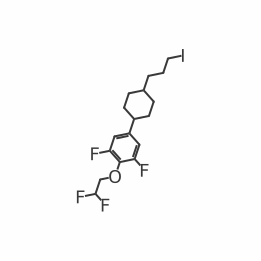 Fc1cc(C2CCC(CCCI)CC2)cc(F)c1OCC(F)F